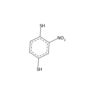 O=[N+]([O-])c1cc(S)ccc1S